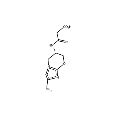 O=C(O)CC(=O)N[C@@H]1COc2nc([N+](=O)[O-])cn2C1